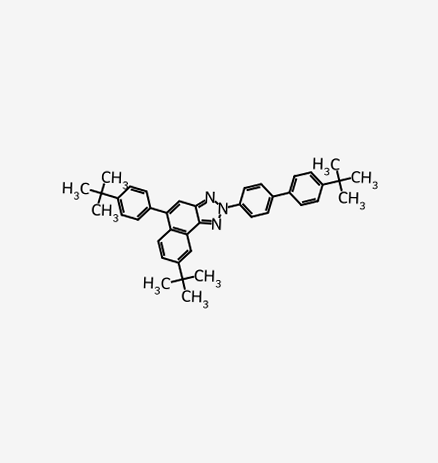 CC(C)(C)c1ccc(-c2ccc(-n3nc4cc(-c5ccc(C(C)(C)C)cc5)c5ccc(C(C)(C)C)cc5c4n3)cc2)cc1